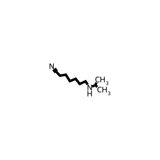 CC(C)NCCCCCCC#N